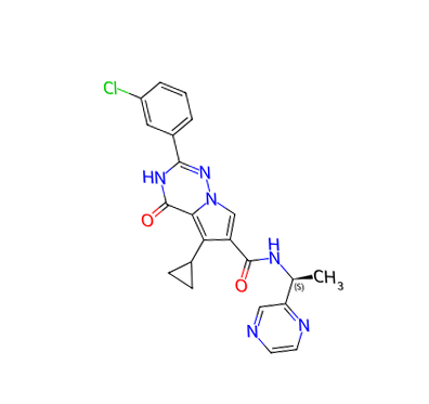 C[C@H](NC(=O)c1cn2nc(-c3cccc(Cl)c3)[nH]c(=O)c2c1C1CC1)c1cnccn1